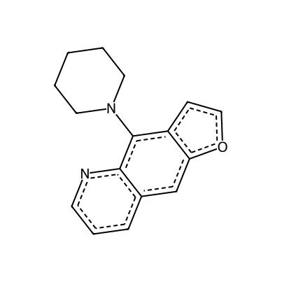 c1cnc2c(N3CCCCC3)c3ccoc3cc2c1